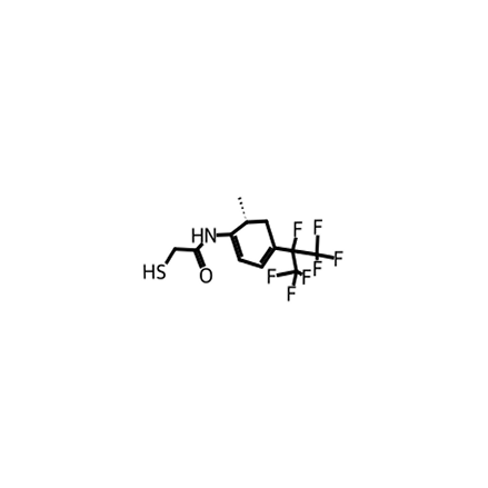 C[C@@H]1CC(C(F)(C(F)(F)F)C(F)(F)F)=CC=C1NC(=O)CS